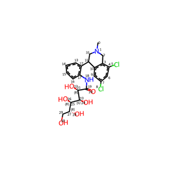 CN1Cc2c(Cl)cc(Cl)cc2C(c2ccccc2NC(=O)[C@H](O)[C@@H](O)[C@H](O)[C@H](O)CO)C1